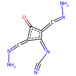 N#CN=c1c(=C=NN)c(=O)c1=C=NN